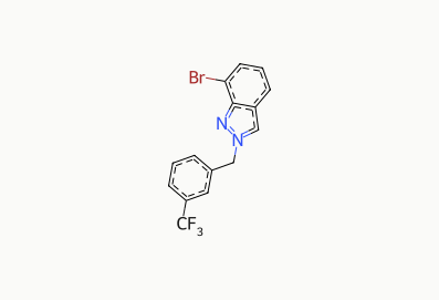 FC(F)(F)c1cccc(Cn2cc3cccc(Br)c3n2)c1